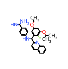 CCOc1cc(OC(C)C)c(F)c(C(Nc2ccc(C(=N)N)cc2)c2ccc3ccccc3n2)c1